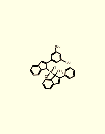 CC(C)(C)c1cc(C2=Cc3ccccc3[CH]2[Zr]([Cl])([Cl])[C]2(C)C(c3ccccc3)=Cc3ccccc32)cc(C(C)(C)C)c1